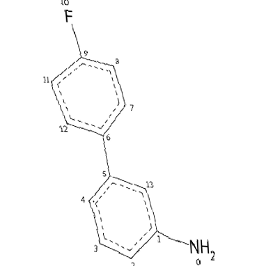 Nc1cc[c]c(-c2ccc(F)cc2)c1